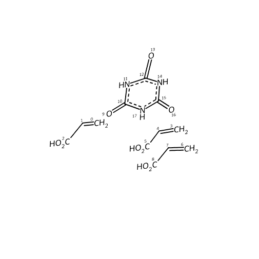 C=CC(=O)O.C=CC(=O)O.C=CC(=O)O.O=c1[nH]c(=O)[nH]c(=O)[nH]1